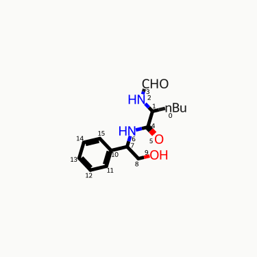 CCCCC(NC=O)C(=O)NC(CO)c1ccccc1